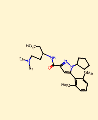 CCN(CC)CC[C@@H](CC(=O)O)NC(=O)c1cc(-c2c(OC)cccc2OC)n(C2CCCC2)n1